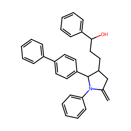 C=C1CC(CCC(O)c2ccccc2)C(c2ccc(-c3ccccc3)cc2)N1c1ccccc1